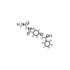 NC(=O)CNC(=O)c1ccc(OCC(O)c2ccccc2)cc1